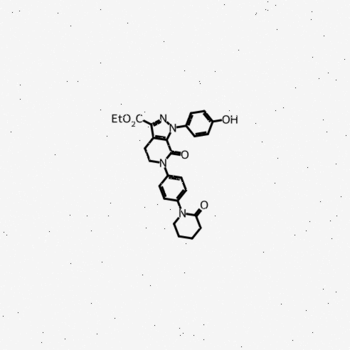 CCOC(=O)c1nn(-c2ccc(O)cc2)c2c1CCN(c1ccc(N3CCCCC3=O)cc1)C2=O